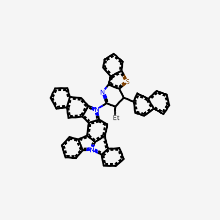 CCC1C(n2c3cc4ccccc4cc3c3c4c5ccccc5n5c6ccccc6c(cc32)c45)=Nc2c(sc3ccccc23)C1c1ccc2ccccc2c1